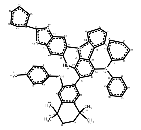 Cc1ccc(Nc2cc3c(cc2-c2cc(N(c4ccccc4)c4ccccc4)c4c5ccccc5n5c4c2Bc2cc4nc(-c6ccccc6)oc4cc2-5)C(C)(C)CCC3(C)C)cc1